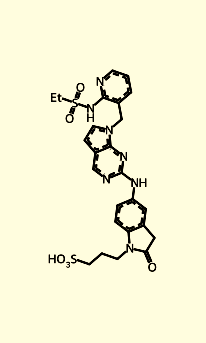 CCS(=O)(=O)Nc1ncccc1Cn1ccc2cnc(Nc3ccc4c(c3)CC(=O)N4CCCS(=O)(=O)O)nc21